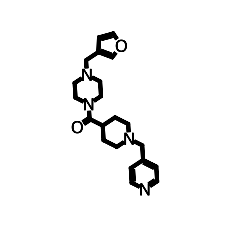 O=C(C1CCN(Cc2ccncc2)CC1)N1CCN(Cc2ccoc2)CC1